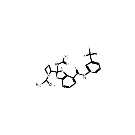 CC(=O)NC1(C2CCN2C(C)C)Nc2c(cccc2C(=O)Nc2[c]ccc(C(F)(F)F)c2)S1